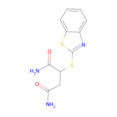 NC(=O)CC(Sc1nc2ccccc2s1)C(N)=O